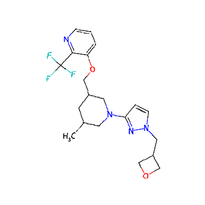 CC1CC(COc2cccnc2C(F)(F)F)CN(c2ccn(CC3COC3)n2)C1